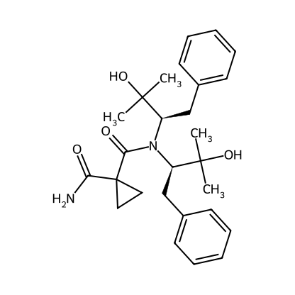 CC(C)(O)[C@@H](Cc1ccccc1)N(C(=O)C1(C(N)=O)CC1)[C@H](Cc1ccccc1)C(C)(C)O